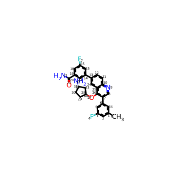 Cc1cc(F)cc(-c2cnc3ccc(-c4cc(F)cc(C(N)=O)c4)cc3c2O[C@H]2CC[C@H](N)C2)c1